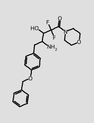 NC(Cc1ccc(OCc2ccccc2)cc1)C(O)C(F)(F)C(=O)N1CCOCC1